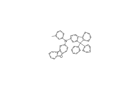 Cc1cccc(N(c2ccc3c(c2)C(c2ccccc2)(c2ccccc2)c2ccccc2-3)c2ccc3oc4ccccc4c3c2)c1